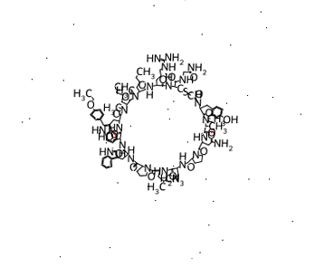 CCCCC1C(=O)N(C)C(CCCC)C(=O)NC(CCCNC(=N)N)C(=O)NC(C(=O)NCC(N)=O)CSCC(=O)NC(Cc2ccc(O)cc2)C(=O)N(C)C(C)C(=O)NC(CC(N)=O)C(=O)N2CCCC2C(=O)NC(CN)C(=O)NC(CC(C)C)C(=O)N2CCCC2C(=O)NC(Cc2c[nH]c3ccccc23)C(=O)NC(CO)C(=O)NC(Cc2c(-c3ccc(OCC)cc3)[nH]c3ccccc23)C(=O)N1C